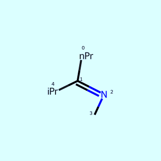 CCC/C(=N/C)C(C)C